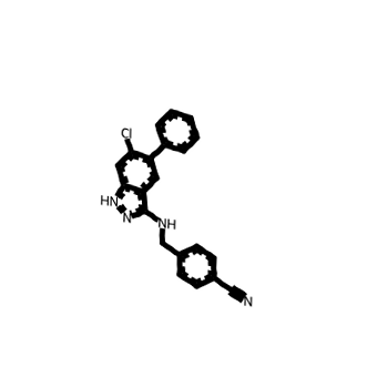 N#Cc1ccc(CNc2n[nH]c3cc(Cl)c(-c4ccccc4)cc23)cc1